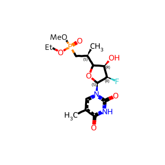 CCOP(=O)(C[C@@H](C)C1O[C@H](n2cc(C)c(=O)[nH]c2=O)[C@H](F)[C@@H]1O)OC